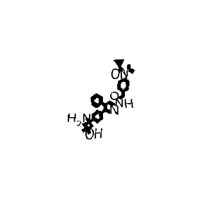 CC(C)N(C(=O)C1CC1)C1CCC(CC(=O)Nc2cc(-c3ccccc3)c(-c3ccc(C4(N)CC(C)(O)C4)cc3)cn2)CC1